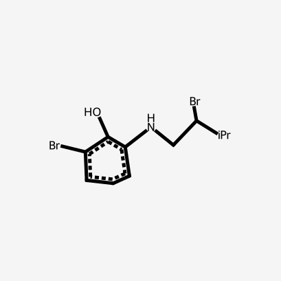 CC(C)C(Br)CNc1cccc(Br)c1O